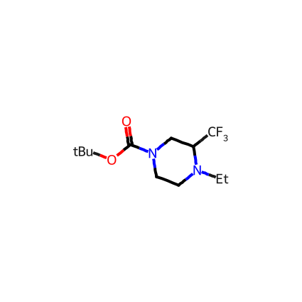 CCN1CCN(C(=O)OC(C)(C)C)CC1C(F)(F)F